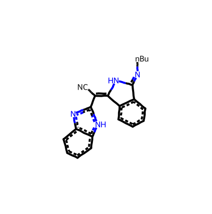 CCCCN=C1NC(=C(C#N)c2nc3ccccc3[nH]2)c2ccccc21